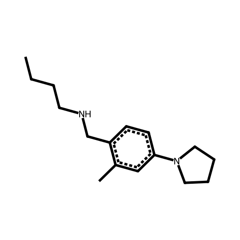 CCCCNCc1ccc(N2CCCC2)cc1C